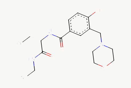 CC(C)C[C@H](NC(=O)c1ccc(O)c(CN2CCOCC2)c1)C(=O)NCC#N